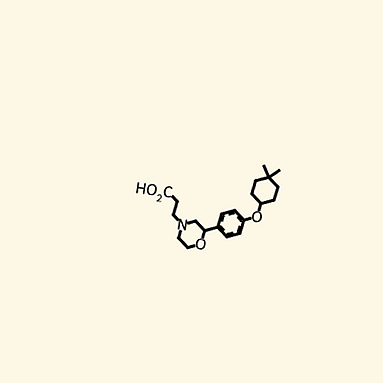 CC1(C)CCC(Oc2ccc(C3CN(CCC(=O)O)CCO3)cc2)CC1